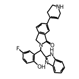 O=C1c2cc(C3=CCNCC3)ccc2CN1C(c1nc2ccccc2[nH]1)c1cc(F)ccc1O